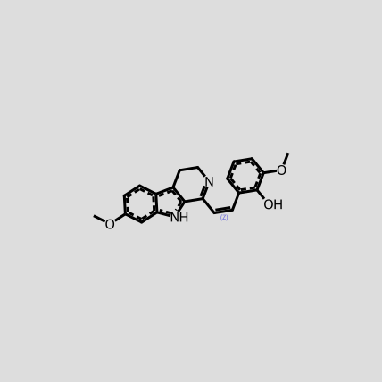 COc1ccc2c3c([nH]c2c1)C(/C=C\c1cccc(OC)c1O)=NCC3